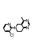 Cc1ncnc2c1CN(c1ncccc1Cl)CC2